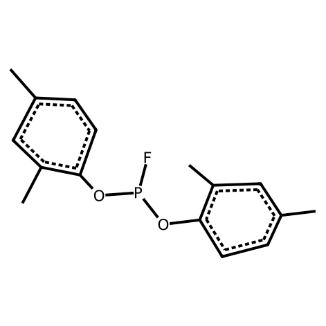 Cc1ccc(OP(F)Oc2ccc(C)cc2C)c(C)c1